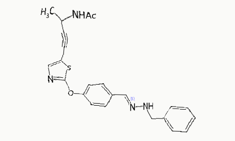 CC(=O)NC(C)C#Cc1cnc(Oc2ccc(/C=N/NCc3ccccc3)cc2)s1